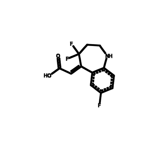 O=C(O)C=C1c2cc(F)ccc2NCCC1(F)F